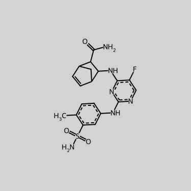 Cc1ccc(Nc2ncc(F)c(NC3C4C=CC(C4)C3C(N)=O)n2)cc1S(N)(=O)=O